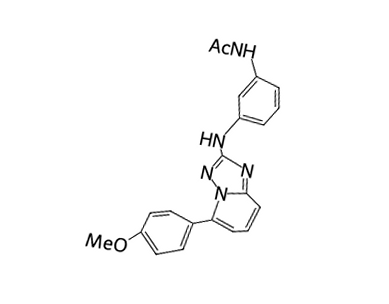 COc1ccc(-c2cccc3nc(Nc4cccc(NC(C)=O)c4)nn23)cc1